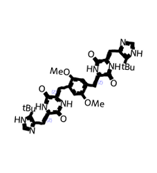 COc1cc(/C=c2\[nH]c(=O)/c(=C/c3nc[nH]c3C(C)(C)C)[nH]c2=O)c(OC)cc1/C=c1\[nH]c(=O)c(=Cc2nc[nH]c2C(C)(C)C)[nH]c1=O